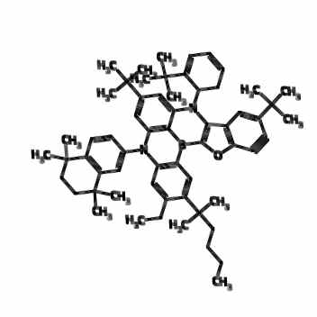 CCCCC(C)(C)c1cc2c(cc1CC)N(c1ccc3c(c1)C(C)(C)CCC3(C)C)c1cc(C(C)(C)C)cc3c1B2c1oc2c#cc(C(C)(C)C)cc2c1N3C1CC=CC=C1C(C)(C)C